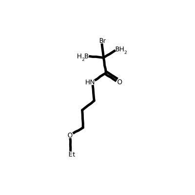 BC(B)(Br)C(=O)NCCCOCC